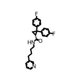 O=C(NCCCCc1cccnc1)[C@H]1CC1(c1ccc(F)cc1)c1ccc(F)cc1